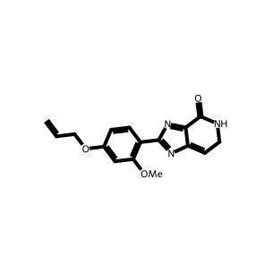 C=CCOc1ccc(C2=NC3=CCNC(=O)C3=N2)c(OC)c1